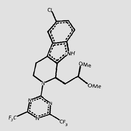 COC(CC1c2[nH]c3ccc(Cl)cc3c2CCN1c1nc(C(F)(F)F)nc(C(F)(F)F)n1)OC